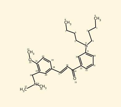 CCCCN(CCCC)c1cccc(C(=O)/C=C/c2ccc(OC)c(CN(C)C)c2)c1